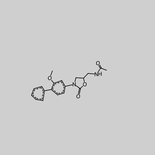 COc1cc(N2CC(CNC(C)=O)OC2=O)ccc1-c1ccccc1